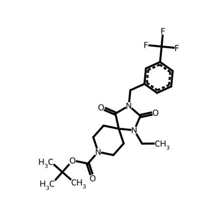 CCN1C(=O)N(Cc2cccc(C(F)(F)F)c2)C(=O)C12CCN(C(=O)OC(C)(C)C)CC2